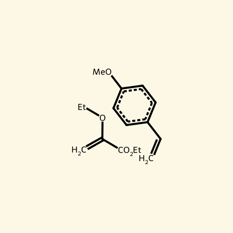 C=C(OCC)C(=O)OCC.C=Cc1ccc(OC)cc1